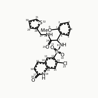 COc1ccccc1C(NS(=O)(=O)c1cc2ccc(=O)[nH]c2cc1Cl)C(=O)NCc1cccs1